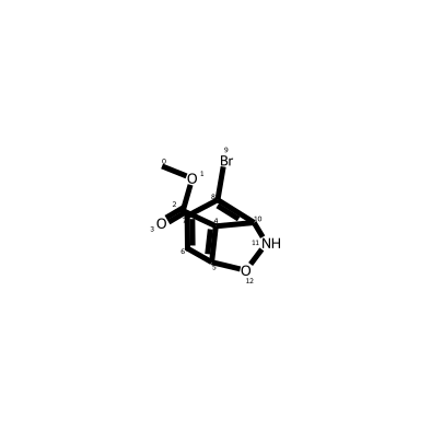 COC(=O)c1c2ccc(Br)c1NO2